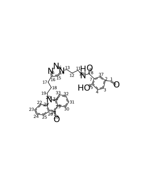 O=Cc1ccc(O)c(C(=O)NCCCn2cc(CCCn3c4ccccc4c(=O)c4ccccc43)nn2)c1